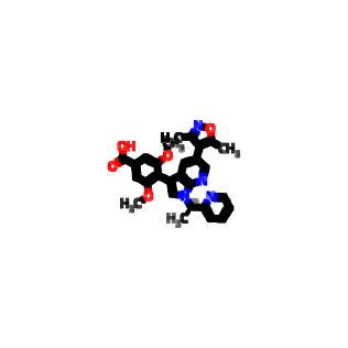 COc1cc(C(=O)O)cc(OC)c1-c1cn([C@@H](C)c2ccccn2)c2ncc(-c3c(C)noc3C)cc12